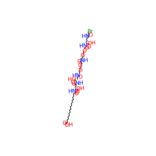 O=C(O)CCCCCCCCCCCCCCCCCCC(=O)N[C@@H](CCC(=O)N[C@@H](CCC(=O)NCCOCCOCC(=O)NCCOCCOCC(=O)N[C@@H](CCCCNC(=O)CBr)C(=O)O)C(=O)O)C(=O)O